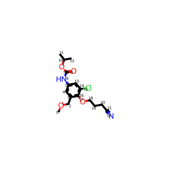 COCc1cc(NC(=O)OC(C)C)cc(Cl)c1OCCCC#N